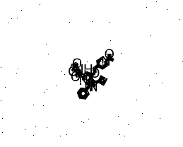 CC(=O)N1CCC(COc2cc(C(=O)NS(C)(=O)=O)nc3c2c(C2CCC2)nn3-c2ccccc2)CC1